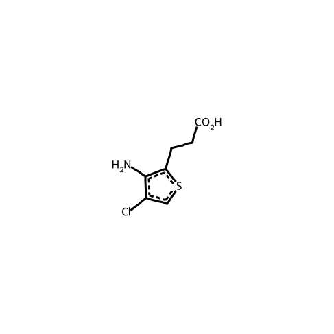 Nc1c(Cl)csc1CCC(=O)O